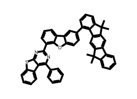 CC1(C)c2ccccc2-c2cc3c(cc21)-c1c(-c2ccc4oc5c(-c6nc(-c7ccccc7)c7c(n6)sc6ccccc67)cccc5c4c2)cccc1C3(C)C